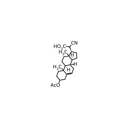 CC(=O)OC1CC[C@@]2(C)C(=CC[C@H]3[C@@H]4CC[C@H](C(C#N)C(=O)O)[C@@]4(C)CC[C@@H]32)C1